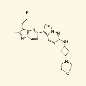 Cc1nc2ccc(-c3ccn4nc(N[C@H]5C[C@@H](N6CCOCC6)C5)ncc34)nc2n1CCF